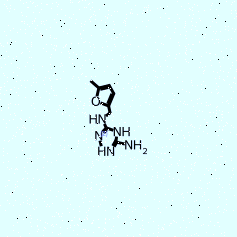 C/N=C(/NCc1ccc(C)o1)NC(=N)N